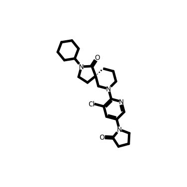 O=C1CCCN1c1cnc(N2CCC[C@@]3(CCN(C4CCCCC4)C3=O)C2)c(Cl)c1